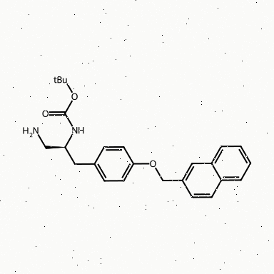 CC(C)(C)OC(=O)N[C@H](CN)Cc1ccc(OCc2ccc3ccccc3c2)cc1